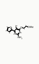 COCCOc1nc(N)nc(-c2ccco2)c1I